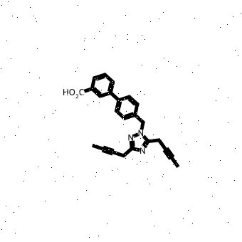 CC#CCc1nc(CC#CC)n(Cc2ccc(-c3cccc(C(=O)O)c3)cc2)n1